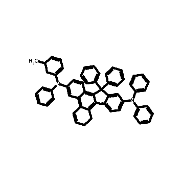 CC1C=CC=C(N(c2ccccc2)c2ccc3c4c(c5c(c3c2)C=CCC5)-c2ccc(N(c3ccccc3)c3ccccc3)cc2C4(c2ccccc2)c2ccccc2)C1